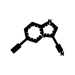 C#Cc1ccc2ncc(C#N)n2c1